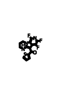 O=C(c1cccs1)c1c2n(c3c(F)nc(F)c(F)c13)CCCN2